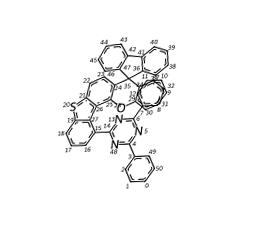 c1ccc(-c2nc(-c3ccccc3)nc(-c3cccc4sc5ccc6c(c5c34)Oc3ccccc3C63c4ccccc4-c4ccccc43)n2)cc1